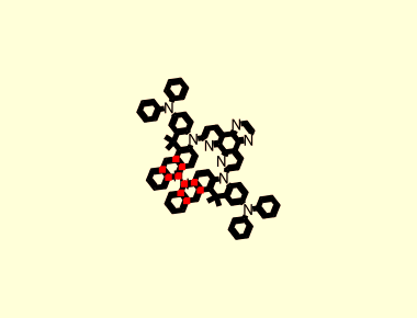 CC1(C)c2cc(N(c3ccccc3)c3ccccc3)ccc2N(c2ccc3c4nccnc4c4ccc(N5c6ccc(N(c7ccccc7)c7ccccc7)cc6C(C)(C)c6cc(N(c7ccccc7)c7ccccc7)ccc65)nc4c3n2)c2ccc(N(c3ccccc3)c3ccccc3)cc21